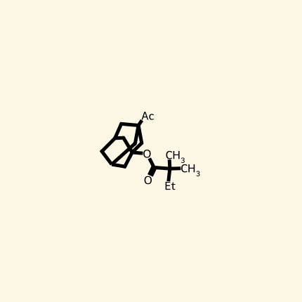 CCC(C)(C)C(=O)OC12CC3CC(C1)CC(C(C)=O)(C3)C2